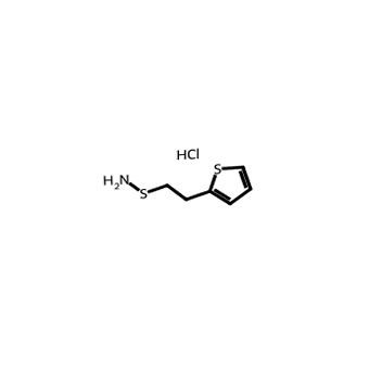 Cl.NSCCc1cccs1